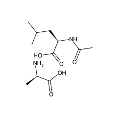 CC(=O)N[C@H](CC(C)C)C(=O)O.C[C@@H](N)C(=O)O